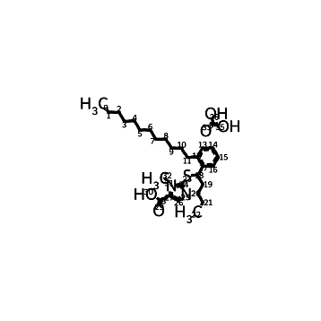 CCCCCCCCCCCCc1ccccc1C(CCCC)Sc1ncc(C(=O)O)n1C.O=C(O)O